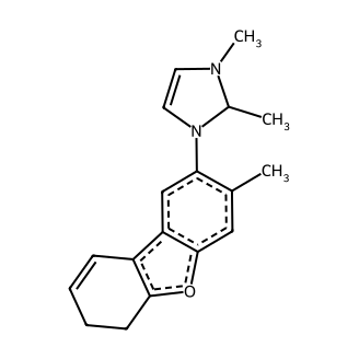 Cc1cc2oc3c(c2cc1N1C=CN(C)C1C)C=CCC3